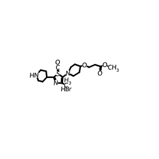 Br.COC(=O)CCOC1CCN(C2=C(C)N=C(C3CCNCC3)S2=C=O)CC1